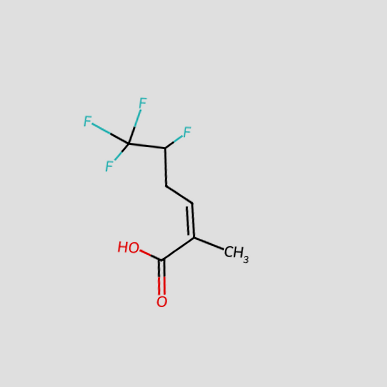 CC(=CCC(F)C(F)(F)F)C(=O)O